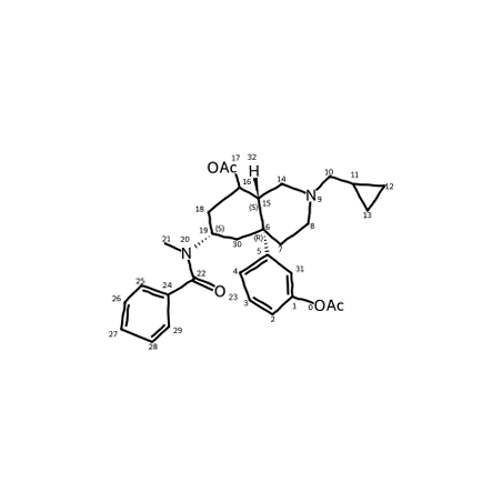 CC(=O)Oc1cccc([C@@]23CCN(CC4CC4)C[C@H]2C(OC(C)=O)C[C@@H](N(C)C(=O)c2ccccc2)C3)c1